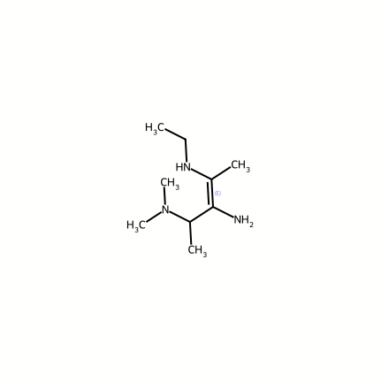 CCN/C(C)=C(/N)C(C)N(C)C